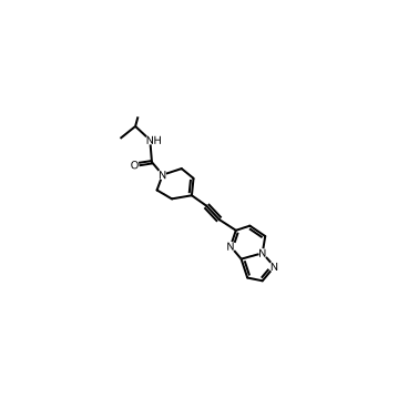 CC(C)NC(=O)N1CC=C(C#Cc2ccn3nccc3n2)CC1